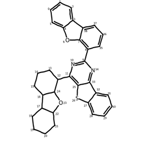 c1ccc2c(c1)oc1c(-c3nc(C4CCCC5C6CCCCC6OC45)c4sc5ccccc5c4n3)cccc12